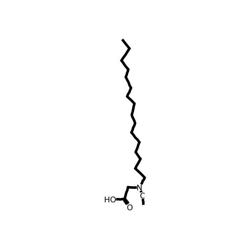 CCCCCCCCCCCCCCCCN(CC)CC(=O)O